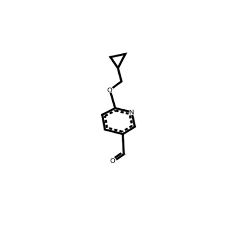 O=[C]c1ccc(OCC2CC2)nc1